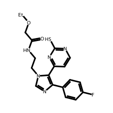 CCOCC(=O)NCCn1cnc(-c2ccc(F)cc2)c1-c1ccnc(S)n1